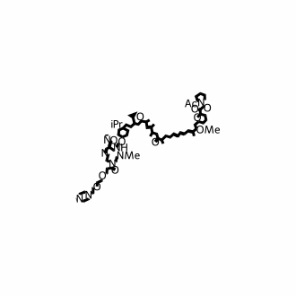 C=N/C=C(\C=N/CCN(CCNC)C(=O)CCOCCOCCN1CCN(C)CC1)CNC(=O)OC1CCC(CCC(CC(=O)C(C)/C=C(\C)C(C)CC(=O)C(C)CC/C=C/C=C/C=C(\C)C(CC2CCCC(C(=O)C(=O)N3CCCCC3C(C)=O)O2)OC)C2CC2)(C(C)C)CC1